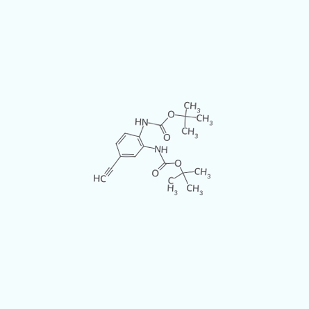 C#Cc1ccc(NC(=O)OC(C)(C)C)c(NC(=O)OC(C)(C)C)c1